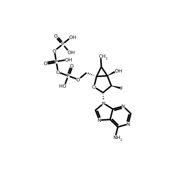 CC1[C@]2(COP(=O)(O)OP(=O)(O)OP(=O)(O)O)O[C@@H](n3cnc4c(N)ncnc43)[C@H](F)[C@@]12O